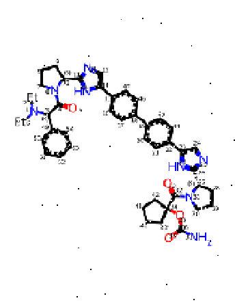 CCN(CC)[C@@H](C(=O)N1CCC[C@H]1c1ncc(-c2ccc(-c3ccc(-c4cnc([C@@H]5CCCN5C(=O)C5(OC(N)=O)CCCC5)[nH]4)cc3)cc2)[nH]1)c1ccccc1